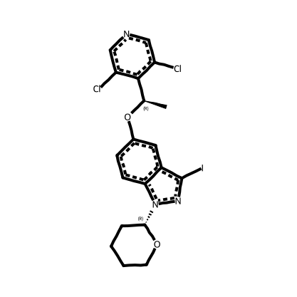 C[C@@H](Oc1ccc2c(c1)c(I)nn2[C@H]1CCCCO1)c1c(Cl)cncc1Cl